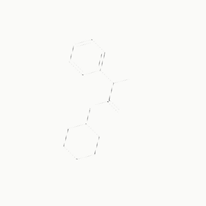 O=C(O)C(C(=O)OC1CCCCC1)c1ccccc1